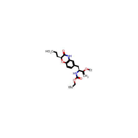 C=C(OCC)[C@H](Cc1ccc2c(c1)NC(=O)[C@H](CCC(=O)O)O2)NC(=O)OCC(C)(C)C